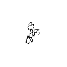 FC(F)(F)C1(N2CCOCC2)CN2C=CC=NC2=N1